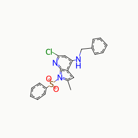 Cc1cc2c(NCc3ccccc3)cc(Cl)nc2n1S(=O)(=O)c1ccccc1